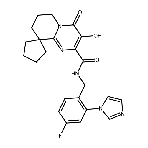 O=C(NCc1ccc(F)cc1-n1ccnc1)c1nc2n(c(=O)c1O)CCCC21CCCC1